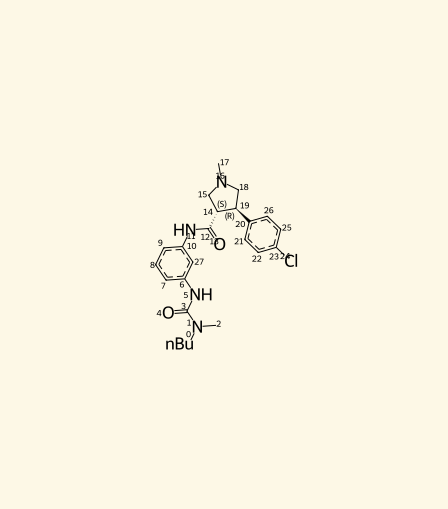 CCCCN(C)C(=O)Nc1cccc(NC(=O)[C@@H]2CN(C)C[C@H]2c2ccc(Cl)cc2)c1